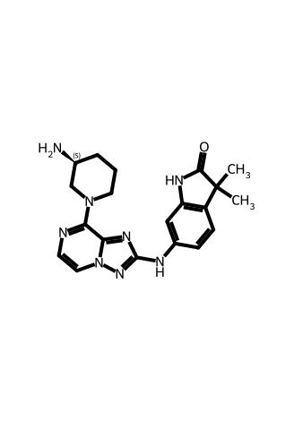 CC1(C)C(=O)Nc2cc(Nc3nc4c(N5CCC[C@H](N)C5)nccn4n3)ccc21